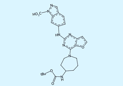 CC(C)(C)OC(=O)NC1CCCN(c2nc(Nc3ccc4cnn(C(=O)O)c4c3)nc3ccoc23)CC1